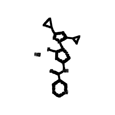 Cl.O=C(Nc1ccc(-n2nc(C3CC3)cc2C2CC2)c(F)c1)c1cccnc1